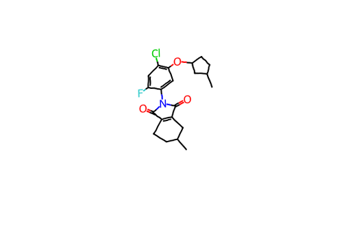 CC1CCC2=C(C1)C(=O)N(c1cc(OC3CCC(C)C3)c(Cl)cc1F)C2=O